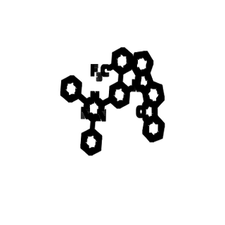 FC(F)(F)c1ccccc1-c1cc(-c2nc(-c3ccccc3)nc(-c3ccccc3)n2)ccc1-n1c2ccccc2c2ccc3c4ccccc4oc3c21